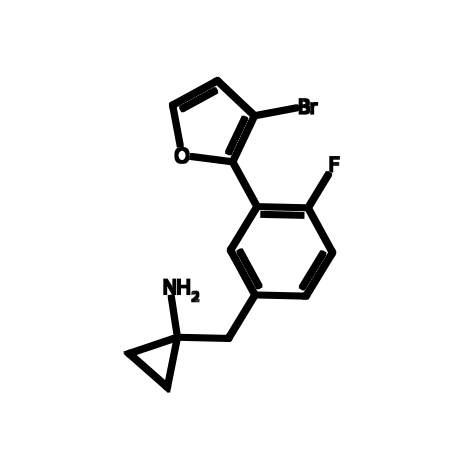 NC1(Cc2ccc(F)c(-c3occc3Br)c2)CC1